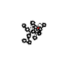 c1ccc(-c2ccc(N(c3ccc(-n4c5ccccc5c5ccccc54)cc3)c3ccc4c(c3)N(c3ccccc3)c3ccccc3[Si]4(c3ccc4c(c3)oc3ccccc34)c3ccc4c(c3)oc3ccccc34)cc2)cc1